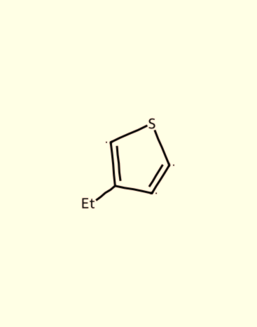 CCc1[c][c]s[c]1